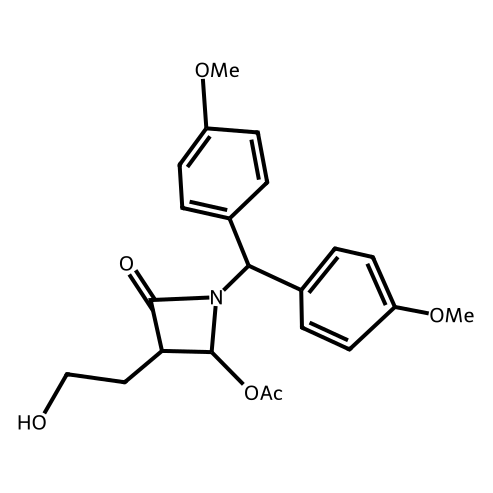 COc1ccc(C(c2ccc(OC)cc2)N2C(=O)C(CCO)C2OC(C)=O)cc1